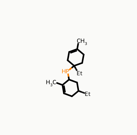 CCC1CC=C(C)C(PC2(CC)CC=C(C)CC2)C1